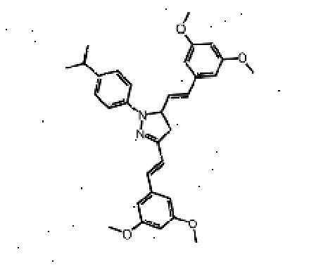 COc1cc(C=CC2=NN(c3ccc(C(C)C)cc3)C(C=Cc3cc(OC)cc(OC)c3)C2)cc(OC)c1